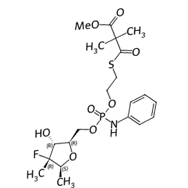 COC(=O)C(C)(C)C(=O)SCCOP(=O)(Nc1ccccc1)OC[C@H]1O[C@@H](C)[C@](C)(F)[C@@H]1O